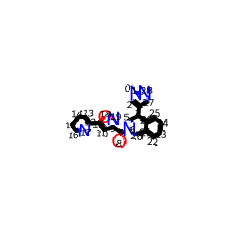 Cn1cc(C2CN(C(=O)c3cc(-c4ccccn4)on3)Cc3ccccc32)cn1